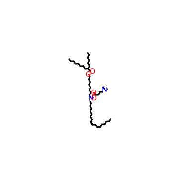 CCCCC/C=C\C/C=C\CCCCCCCCN(CCCCCCCCOC(=O)C(CCCCCC)CCCCCCCC)OC(=O)CCCN(C)C